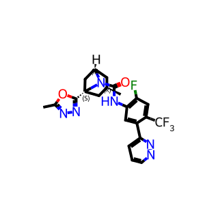 Cc1nnc([C@]23C[C@H](C)C[C@H](C2)N3C(=O)Nc2cc(-c3cccnn3)c(C(F)(F)F)cc2F)o1